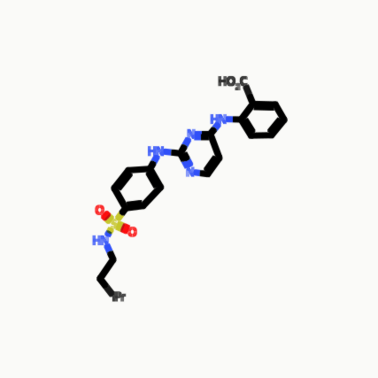 CC(C)CCNS(=O)(=O)c1ccc(Nc2nccc(Nc3ccccc3C(=O)O)n2)cc1